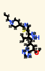 CCCN1CCC(c2ncc(-c3n[nH]c(-c4cc(OC)c5ncnn5c4)c3C(C)C)s2)CC1